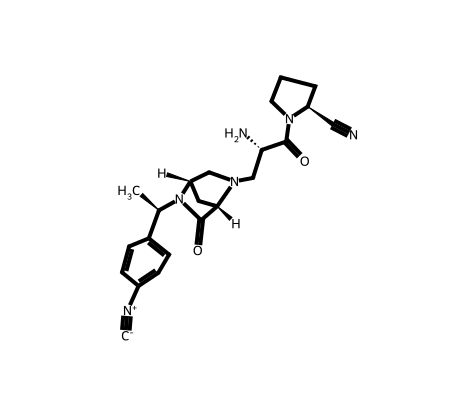 [C-]#[N+]c1ccc([C@@H](C)N2C(=O)[C@@H]3C[C@H]2CN3C[C@H](N)C(=O)N2CCC[C@H]2C#N)cc1